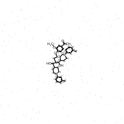 COc1cc(C(C)=O)ccc1OCCC(C(O)C1CCN(c2cccc(F)c2)CC1)C(O)C1CCN(c2cccc(F)c2)CC1